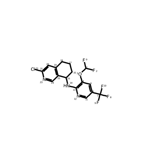 FC(F)Oc1cc(C(F)(F)F)cnc1NC1CCCc2cc(Cl)ncc21